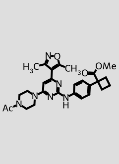 COC(=O)C1(c2ccc(Nc3nc(-c4c(C)noc4C)cc(N4CCN(C(C)=O)CC4)n3)cc2)CCC1